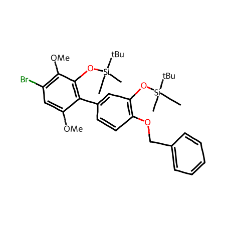 COc1cc(Br)c(OC)c(O[Si](C)(C)C(C)(C)C)c1-c1ccc(OCc2ccccc2)c(O[Si](C)(C)C(C)(C)C)c1